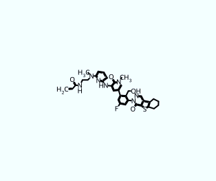 C=CC(=O)NCCN(C)c1cccc(Nc2cc(-c3cc(F)cc(-n4ncc5c6c(sc5c4=O)CCCC6)c3CO)cn(C)c2=O)n1